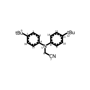 CC(C)(C)c1ccc(N(CC#N)c2ccc(C(C)(C)C)cc2)cc1